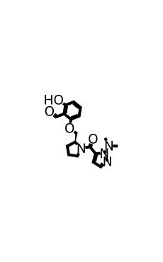 CN(C)n1nccc1C(=O)N1CCC[C@H]1COc1cccc(O)c1C=O